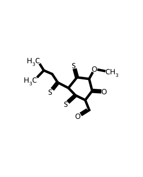 COC1C(=O)C(C=O)C(=S)C(C(=S)CC(C)C)C1=S